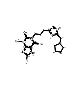 CCCCn1c(=O)n(CCCc2noc(CC3CCCC3)n2)c(=O)c2[nH]c(Cl)nc21